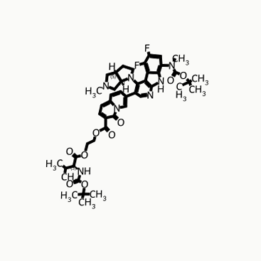 CC(C)[C@H](NC(=O)OC(C)(C)C)C(=O)OCCOC(=O)c1ccc2ccc(-c3cnc4[nH]c5c(N(C)C(=O)OC(C)(C)C)cc(F)c(F)c5c4c3N3CC[C@H]4CN(C)C[C@H]43)cn2c1=O